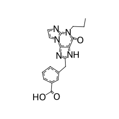 CCCn1c(=O)c2[nH]c(Cc3cccc(C(=O)O)c3)nc2n2ccnc12